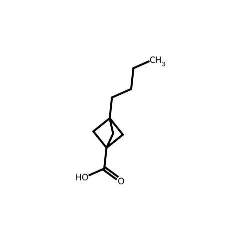 CCCCC12CC(C(=O)O)(C1)C2